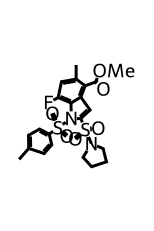 COC(=O)c1c(C)cc(F)c2c1cc(S(=O)(=O)N1CCCC1)n2S(=O)(=O)c1ccc(C)cc1